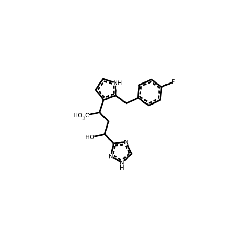 O=C(O)C(CC(O)c1nc[nH]n1)c1cc[nH]c1Cc1ccc(F)cc1